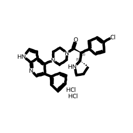 Cl.Cl.O=C([C@@H](c1ccc(Cl)cc1)[C@@H]1CCCN1)N1CCN(c2c(-c3ccccc3)cnc3[nH]ccc23)CC1